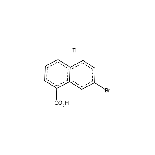 O=C(O)c1cccc2ccc(Br)cc12.[Tl]